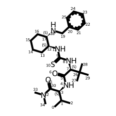 CC(C)[C@H](NC(=O)[C@@H](NC(=S)N[C@H]1CCCC[C@@H]1NCc1ccccc1)C(C)(C)C)C(=O)N(C)C